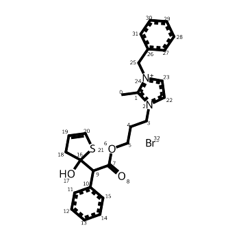 Cc1n(CCCOC(=O)C(c2ccccc2)C2(O)CC=CS2)cc[n+]1Cc1ccccc1.[Br-]